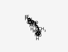 CC(C)(COCC(O)C(=O)N1CCN2c3ncc(C(F)(F)F)cc3OCC[C@@H]2C1)SNc1cn[nH]c(=O)c1C(F)(F)F